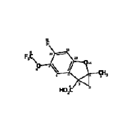 CC12CC1(C(=O)O)c1cc(OC(F)(F)F)c(F)cc1O2